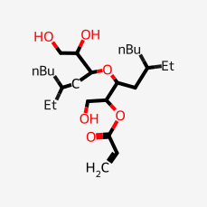 C=CC(=O)OC(CO)C(CC(CC)CCCC)OC(CC(CC)CCCC)C(O)CO